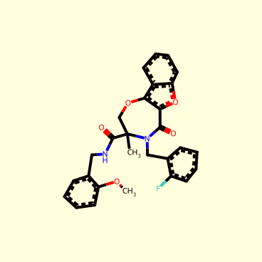 COc1ccccc1CNC(=O)C1(C)COc2c(oc3ccccc23)C(=O)N1Cc1ccccc1F